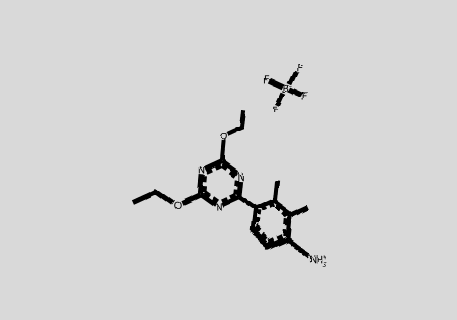 CCOc1nc(OCC)nc(-c2ccc([NH3+])c(C)c2C)n1.F[B-](F)(F)F